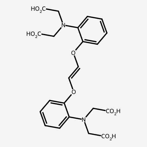 O=C(O)CN(CC(=O)O)c1ccccc1OC=COc1ccccc1N(CC(=O)O)CC(=O)O